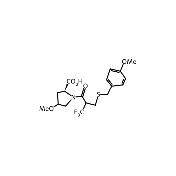 COc1ccc(CSCC(C(=O)N2CC(OC)C[C@H]2C(=O)O)C(F)(F)F)cc1